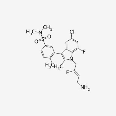 Cc1ccc(S(=O)(=O)N(C)C)cc1-c1c(C)n(CC(F)=CCN)c2c(F)cc(Cl)cc12